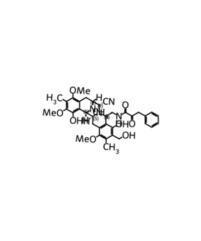 COc1c(C)c(OC)c2c(c1O)[C@H]1[C@@H]3Cc4c(OC)c(C)c(CO)c(O)c4[C@H](CNC(=O)C(=O)Cc4ccccc4)N3[C@@H](C#N)[C@@H](C2)N1C